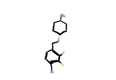 CCCC[C@H]1CC[C@H](CCc2ccc(C#N)c(F)c2F)CC1